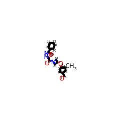 Cc1cc(C=O)ccc1OC1CN(C(=O)c2nnc(-c3ccccc3)o2)C1